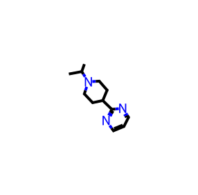 CC(C)N1CCC(c2ncccn2)CC1